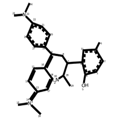 Cc1ccc(O)c(C(CC(=C2C=CC(=[N+](C)C)C=C2)c2ccc(N(C)C)cc2)C(C)N)c1